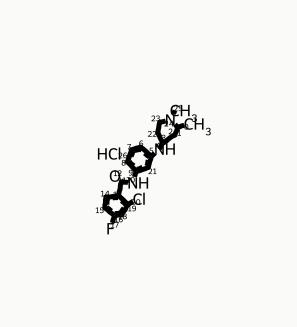 CC1CC(Nc2cccc(NC(=O)c3ccc(F)cc3Cl)c2)CCN1C.Cl